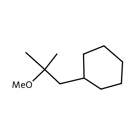 COC(C)(C)CC1CCCCC1